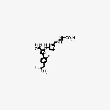 CC(O)Cc1ccc(-c2cc(C(N)=O)c(Nc3cccc(CNCCNC(=O)O)n3)s2)c(F)c1